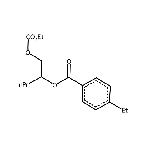 CCCC(COC(=O)OCC)OC(=O)c1ccc(CC)cc1